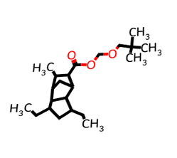 CCC1CC(CC)C2C3CC(C(C)C3C(=O)OCOCC(C)(C)C)C12